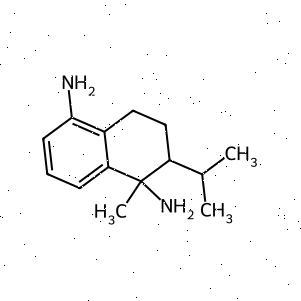 CC(C)C1CCc2c(N)cccc2C1(C)N